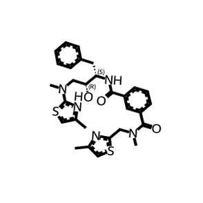 Cc1csc(CN(C)C(=O)c2cccc(C(=O)N[C@@H](Cc3ccccc3)[C@H](O)CN(C)c3nc(C)cs3)c2)n1